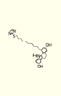 Cn1ccnc1SCCCCCCCCCCc1cc(O)cc2c1-c1[nH]c3ccc(O)cc3c1CC2